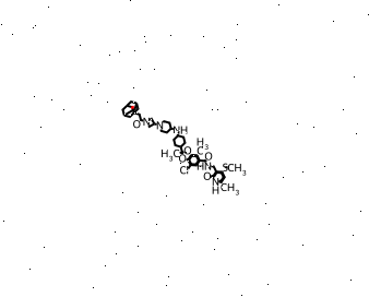 CSc1cc(C)[nH]c(=O)c1CNC(=O)c1cc(Cl)c2c(c1C)OC(C)(C1CCC(NC3CCN(C4CN(C(=O)CC56CC7CC(CC(C7)C5)C6)C4)CC3)CC1)O2